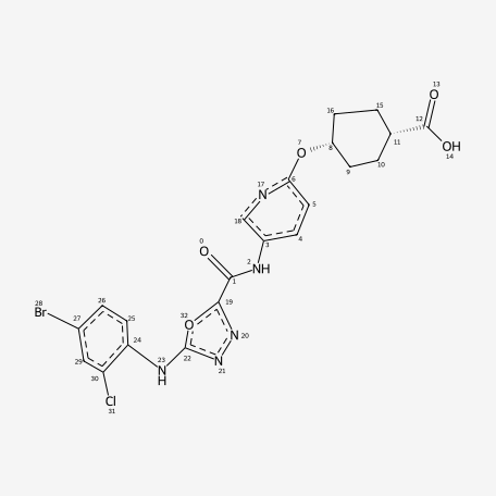 O=C(Nc1ccc(O[C@H]2CC[C@@H](C(=O)O)CC2)nc1)c1nnc(Nc2ccc(Br)cc2Cl)o1